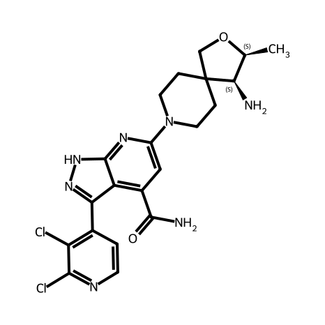 C[C@@H]1OCC2(CCN(c3cc(C(N)=O)c4c(-c5ccnc(Cl)c5Cl)n[nH]c4n3)CC2)[C@@H]1N